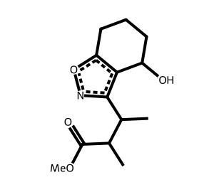 COC(=O)C(C)C(C)c1noc2c1C(O)CCC2